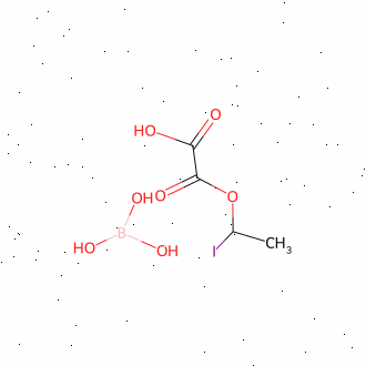 CC(I)OC(=O)C(=O)O.OB(O)O